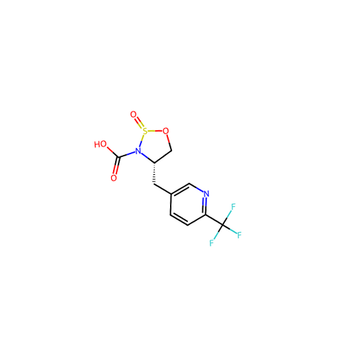 O=C(O)N1[C@@H](Cc2ccc(C(F)(F)F)nc2)COS1=O